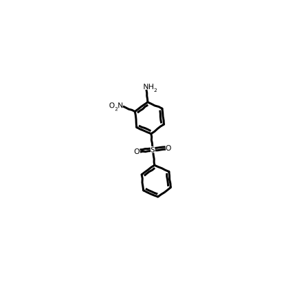 Nc1ccc(S(=O)(=O)c2ccccc2)cc1[N+](=O)[O-]